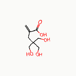 C=C(CC(CO)(CO)CO)C(=O)O